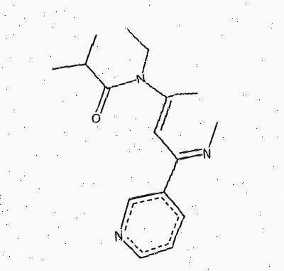 CCN(C(=O)C(C)C)/C(C)=C/C(=N\C)c1cccnc1